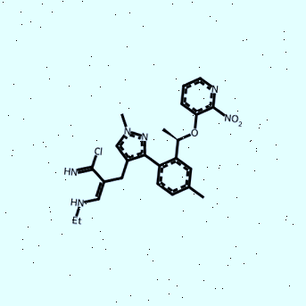 CCN/C=C(/Cc1cn(C)nc1-c1ccc(C)cc1[C@@H](C)Oc1cccnc1[N+](=O)[O-])C(=N)Cl